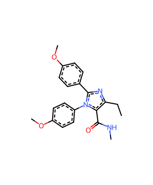 CCc1nc(-c2ccc(OC)cc2)n(-c2ccc(OC)cc2)c1C(=O)NC